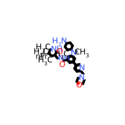 CCCC1(C)C(C)NC(=O)C(CNC(=O)c2cc(-c3ccc(CN4CCOCC4)nc3)cc(N(C)[C@H]3CC[C@@H](N)CC3)c2C)C1C